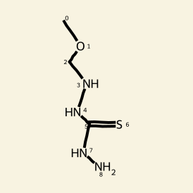 COCNNC(=S)NN